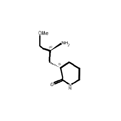 COC[C@@H](N)C[C@@H]1CCCNC1=O